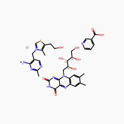 Cc1cc2nc3c(=O)[nH]c(=O)nc-3n(C[C@H](O)[C@H](O)[C@H](O)CO)c2cc1C.Cc1ncc(C[n+]2csc(CCO)c2C)c(N)n1.O=C(O)c1cccnc1.[Cl-]